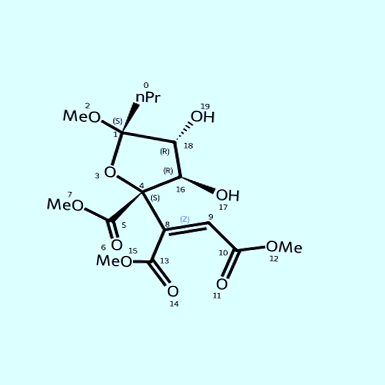 CCC[C@]1(OC)O[C@@](C(=O)OC)(/C(=C/C(=O)OC)C(=O)OC)[C@H](O)[C@H]1O